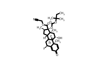 CCC(C)(C)OC(=O)O[C@@]1(C(=O)OCC#N)[C@H](C)C[C@H]2[C@@H]3C[C@H](F)C4=CC(=O)C=C[C@]4(C)C3(F)[C@@H](O)C[C@@]21C